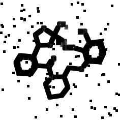 CC1(C)OCC(c2ccccc2C(=O)N2CCCCC2COc2cccc(O)c2C=O)O1